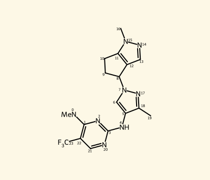 CNc1nc(Nc2cn(C3CCc4c3cnn4C)nc2C)ncc1C(F)(F)F